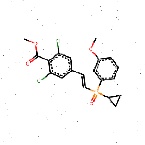 COC(=O)c1c(Cl)cc(/C=C/P(=O)(c2cccc(OC)c2)C2CC2)cc1Cl